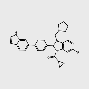 O=C(C1CC1)N1c2cc(F)ccc2N(CN2CCCC2)C1c1ccc(-c2ccc3cc[nH]c3c2)cc1